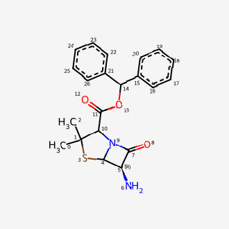 CC1(C)SC2[C@H](N)C(=O)N2C1C(=O)OC(c1ccccc1)c1ccccc1